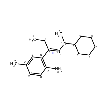 CC/C(=N\N(C)C1CCCCC1)c1cc(C)ccc1N